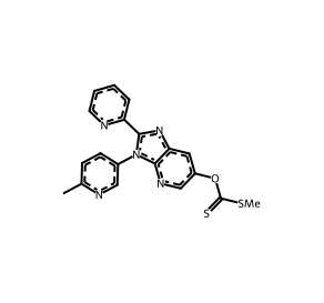 CSC(=S)Oc1cnc2c(c1)nc(-c1ccccn1)n2-c1ccc(C)nc1